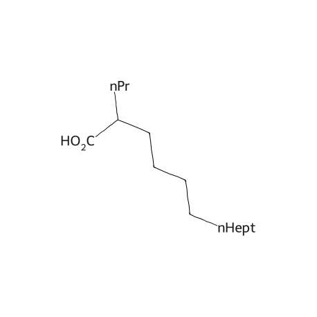 CCCCCCCCCCCC(CCC)C(=O)O